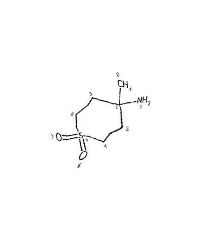 CC1(N)CCS(=O)(=O)CC1